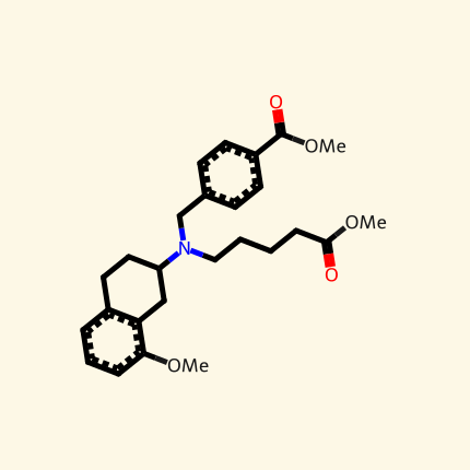 COC(=O)CCCCN(Cc1ccc(C(=O)OC)cc1)C1CCc2cccc(OC)c2C1